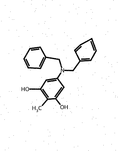 Cc1c(O)cc(N(Cc2ccccc2)Cc2ccccc2)cc1O